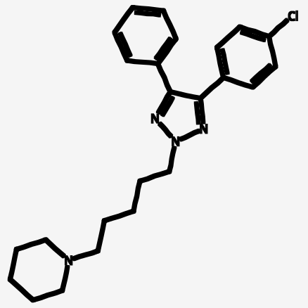 Clc1ccc(-c2nn(CCCCCN3CCCCC3)nc2-c2ccccc2)cc1